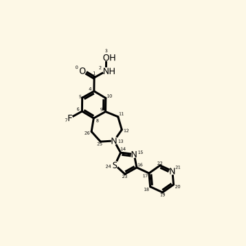 O=C(NO)c1cc(F)c2c(c1)CCN(c1nc(-c3cccnc3)cs1)CC2